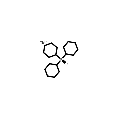 O=P(C1CCCCC1)(C1CCCCC1)C1CCCCC1.[Tb+3]